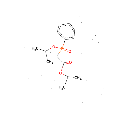 CC(C)OC(=O)CP(=O)(OC(C)C)c1ccccc1